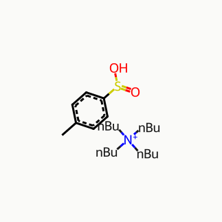 CCCC[N+](CCCC)(CCCC)CCCC.Cc1ccc(S(=O)O)cc1